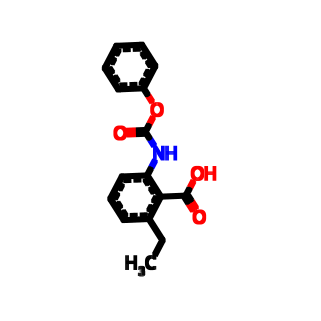 CCc1cccc(NC(=O)Oc2ccccc2)c1C(=O)O